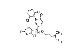 CN(C)CCCO/N=C(\c1ccc(=O)n(-c2c(Cl)cccc2Cl)c1)c1ccc(F)cc1Cl